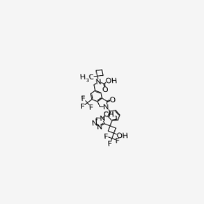 Cn1cnnc1C1(c2cccc(N3Cc4c(cc(CN(C(=O)O)C5(C)CCC5)cc4C(F)(F)F)C3=O)c2)CC(O)(C(F)(F)F)C1